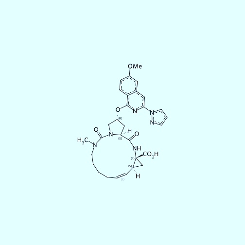 COc1ccc2c(O[C@@H]3C[C@H]4C(=O)N[C@]5(C(=O)O)C[C@H]5/C=C\CCCCN(C)C(=O)N4C3)nc(-n3cccn3)cc2c1